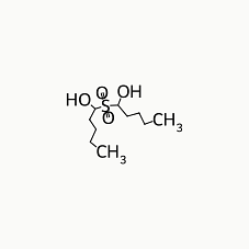 CCCCC(O)S(=O)(=O)C(O)CCCC